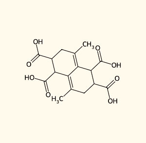 CC1=C2C(=C(C)CC(C(=O)O)C2C(=O)O)C(C(=O)O)C(C(=O)O)C1